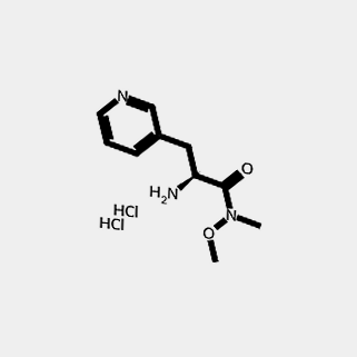 CON(C)C(=O)[C@@H](N)Cc1cccnc1.Cl.Cl